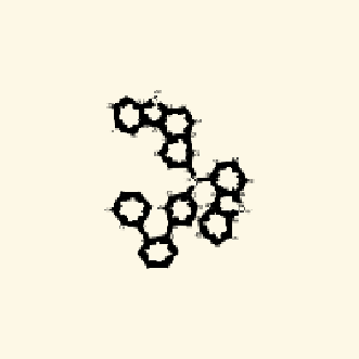 c1ccc(-c2ccccc2-c2ccc(N(c3ccc4c(ccc5sc6ccccc6c54)c3)c3cccc4oc5ccccc5c34)cc2)cc1